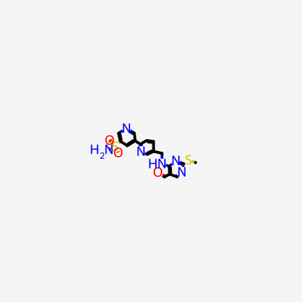 CSc1ncc(C=O)c(NCc2ccc(-c3cncc(S(N)(=O)=O)c3)nc2)n1